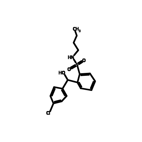 CCCCNS(=O)(=O)c1ccccc1C(O)c1ccc(Cl)cc1